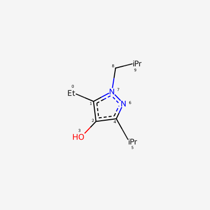 CCc1c(O)c(C(C)C)nn1CC(C)C